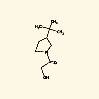 CC(C)(C)C1CCN(C(=O)CO)C1